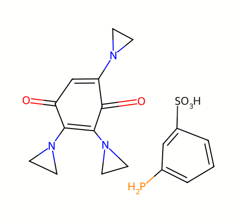 O=C1C=C(N2CC2)C(=O)C(N2CC2)=C1N1CC1.O=S(=O)(O)c1cccc(P)c1